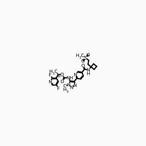 C[C@@H](OC(=O)Nc1c(-c2ccc(C(=O)NC3(CCS(C)(=O)=O)CCC3)cn2)nnn1C)c1cc(F)cnc1F